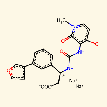 Cn1ccc([O-])c(NC(=O)N[C@@H](CC(=O)[O-])c2cccc(-c3ccoc3)c2)c1=O.[Na+].[Na+]